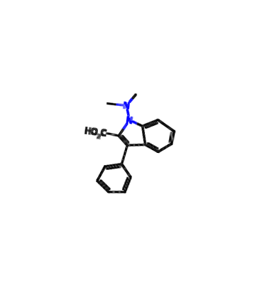 CN(C)n1c(C(=O)O)c(-c2ccccc2)c2ccccc21